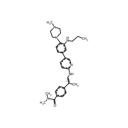 CCCNc1cc(-c2ccc(N/C=C(\C)c3ccc(C(=O)N(C)C)cc3)nc2)ccc1N1CCN(C)CC1